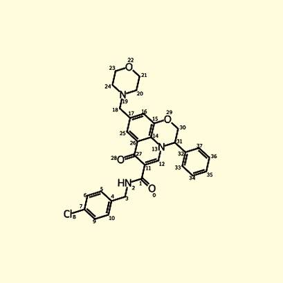 O=C(NCc1ccc(Cl)cc1)c1cn2c3c(cc(CN4CCOCC4)cc3c1=O)OCC2c1ccccc1